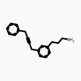 NCCCc1cccc(CC#CCc2ccccc2)c1